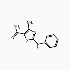 NC(=O)c1sc(Nc2ccccc2)nc1N